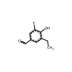 CCc1cc(C=O)cc(F)c1O